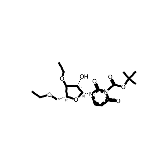 CCOC[C@H]1O[C@@H](n2ccc(=O)n(C(=O)OC(C)(C)C)c2=O)[C@@H](O)C1OCC